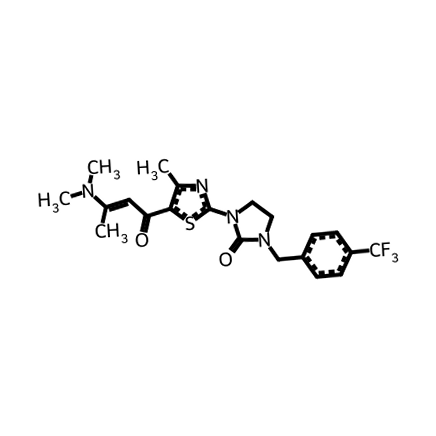 C/C(=C\C(=O)c1sc(N2CCN(Cc3ccc(C(F)(F)F)cc3)C2=O)nc1C)N(C)C